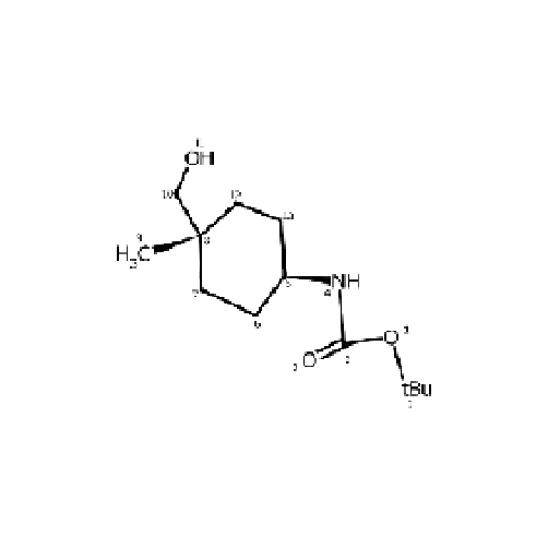 CC(C)(C)OC(=O)N[C@H]1CC[C@](C)(CO)CC1